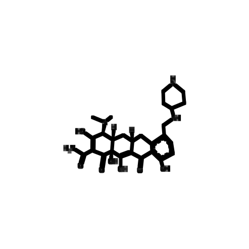 CN(C)[C@@H]1C(O)=C(C(N)=O)C(=O)[C@@]2(O)C(O)=C3C(=O)c4c(O)ccc(CNC5CCNCC5)c4C[C@H]3C[C@@H]12